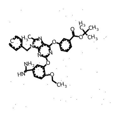 CCOc1ccc(C(=N)N)cc1Oc1nc(Oc2cccc(C(=O)OC(C)(C)C)c2)c2nc(C)n(Cc3ccccc3)c2n1